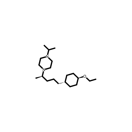 CCO[C@H]1CC[C@H](CCC[C@@H](C)N2CCN(C(C)C)CC2)CC1